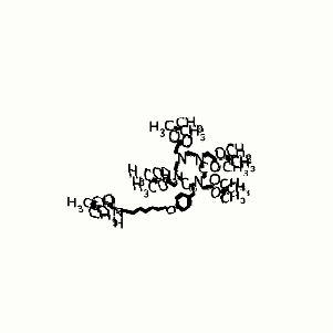 CC(C)(C)OC(=O)CN1CCN(CC(=O)OC(C)(C)C)CCN(CC(=O)OC(C)(C)C)[C@@H](Cc2ccc(OCCCCCCCNC(=O)OC(C)(C)C)cc2)CN(CC(=O)OC(C)(C)C)CC1